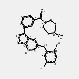 O=C(c1cccc(-c2n[nH]c3ncc(Cc4cc(F)ccc4F)cc23)c1)N1CCC(O)CC1